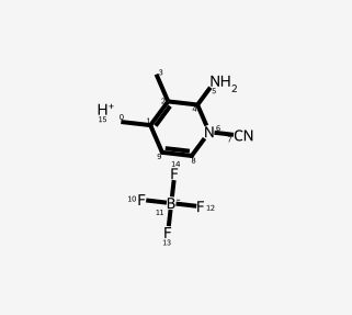 CC1=C(C)C(N)N(C#N)C=C1.F[B-](F)(F)F.[H+]